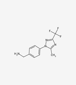 Cc1nc(C(F)(F)F)nn1-c1ccc(CN)cc1